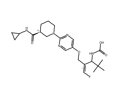 CC(C)(C)C(NC(=O)O)/C(=C\F)COc1cnc(N2CCC[C@H](C(=O)NC3CC3)C2)nc1